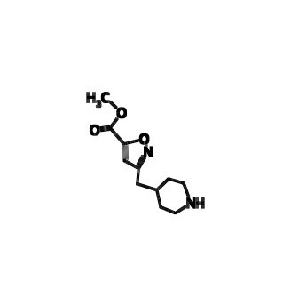 COC(=O)c1cc(CC2CCNCC2)no1